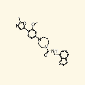 COc1cc(N2CCCN(C(=O)NCc3cccc4ccsc34)CC2)ccc1-c1cnc(C)o1